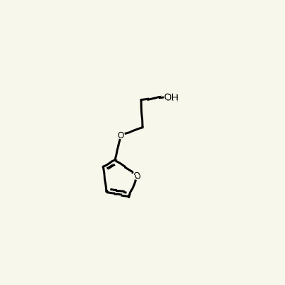 OCCOc1ccco1